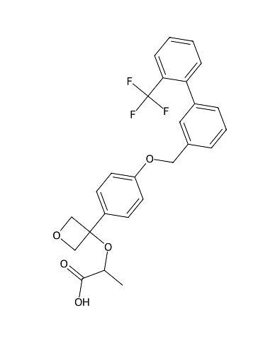 CC(OC1(c2ccc(OCc3cccc(-c4ccccc4C(F)(F)F)c3)cc2)COC1)C(=O)O